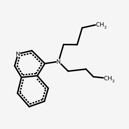 CCCCN(CCCC)c1cncc2ccccc12